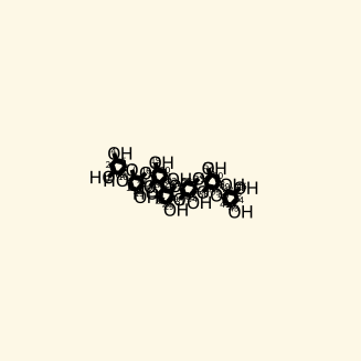 Oc1cc(O)cc(Oc2c(O)cc(O)c3c2Oc2c(O)cc(O)c(-c4c(O)cc(O)c5oc6c(O)c7oc8c(Oc9cc(O)cc(O)c9)c(O)cc(O)c8oc7cc6oc45)c2O3)c1